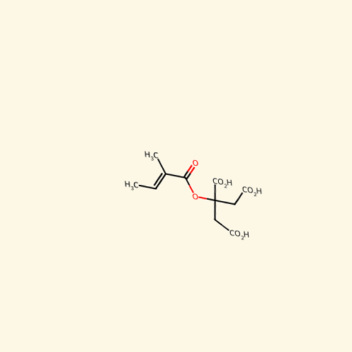 CC=C(C)C(=O)OC(CC(=O)O)(CC(=O)O)C(=O)O